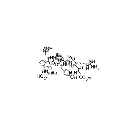 CC[C@H](C)[C@H](NC(=O)[C@@H]1CCCN1C(=O)[C@H](Cc1c[nH]cn1)NC(=O)[C@@H](NC(=O)[C@H](Cc1ccc(O)cc1)NC(=O)[C@@H](NC(=O)[C@H](CCCNC(=N)N)NC(=O)[C@@H](N)CC(=O)O)C(C)C)[C@@H](C)CC)C(=O)O